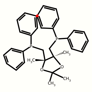 CC1(C)O[C@](C)(CP(c2ccccc2)c2ccccc2)[C@@](C)(CP(c2ccccc2)c2ccccc2)O1